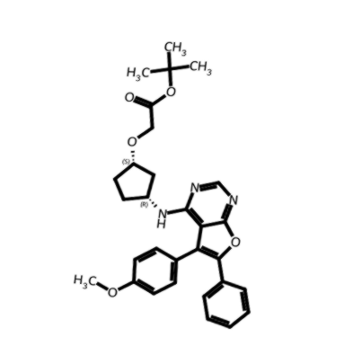 COc1ccc(-c2c(-c3ccccc3)oc3ncnc(N[C@@H]4CC[C@H](OCC(=O)OC(C)(C)C)C4)c23)cc1